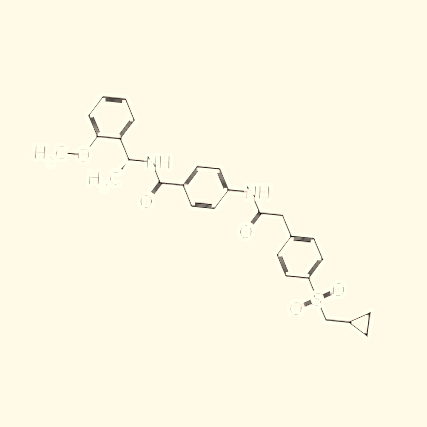 COc1ccccc1[C@H](C)NC(=O)c1ccc(NC(=O)Cc2ccc(S(=O)(=O)CC3CC3)cc2)cc1